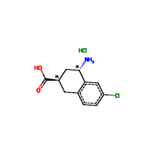 Cl.N[C@H]1C[C@H](C(=O)O)Cc2ccc(Cl)cc21